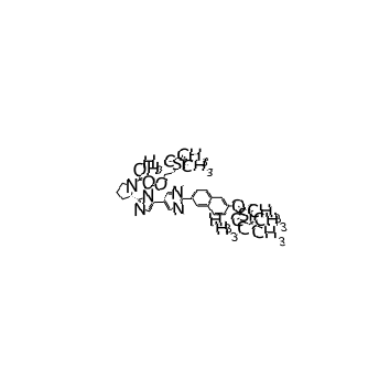 CC(C)(C)[Si](C)(C)Oc1ccc2cc(-c3ncc(-c4cnc([C@@H]5CCCN5C(=O)O)n4COCC[Si](C)(C)C)cn3)ccc2c1